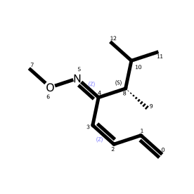 C=C/C=C\C(=N/OC)[C@@H](C)C(C)C